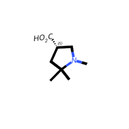 CN1C[C@@H](C(=O)O)CC1(C)C